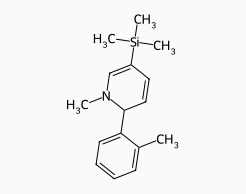 Cc1ccccc1C1C=CC([Si](C)(C)C)=CN1C